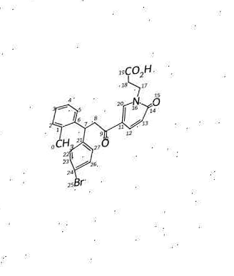 Cc1ccccc1C(CC(=O)c1ccc(=O)n(CCC(=O)O)c1)c1ccc(Br)cc1